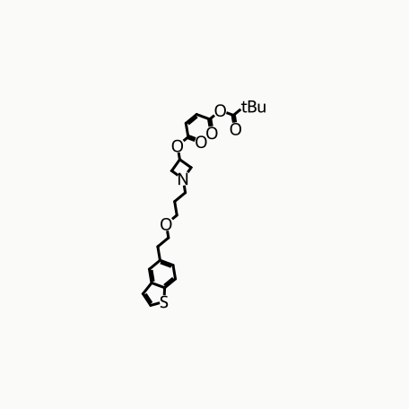 CC(C)(C)C(=O)OC(=O)/C=C\C(=O)OC1CN(CCCOCCc2ccc3sccc3c2)C1